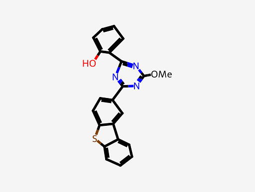 COc1nc(-c2ccc3sc4ccccc4c3c2)nc(-c2ccccc2O)n1